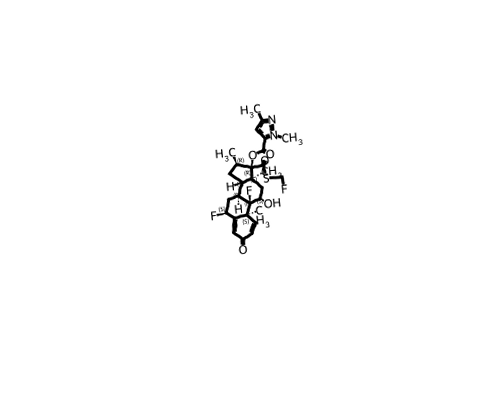 Cc1cc(C(=O)O[C@]2(C(=O)SCF)[C@H](C)C[C@H]3[C@@H]4C[C@H](F)C5=CC(=O)C=C[C@]5(C)[C@@]4(F)[C@@H](O)C[C@@]32C)n(C)n1